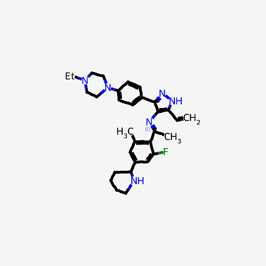 C=Cc1[nH]nc(-c2ccc(N3CCN(CC)CC3)cc2)c1/N=C(\C)c1c(C)cc(C2CCCCN2)cc1F